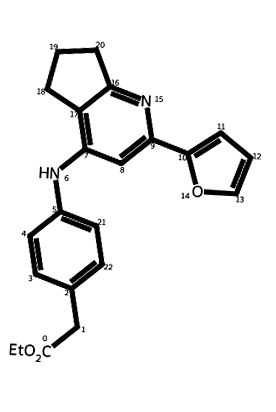 CCOC(=O)Cc1ccc(Nc2cc(-c3ccco3)nc3c2CCC3)cc1